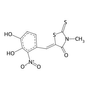 CN1C(=O)C(=Cc2ccc(O)c(O)c2[N+](=O)[O-])SC1=S